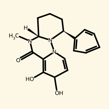 CN1C(=O)C2=C(O)C(O)C=CN2N2[C@H](c3ccccc3)CCC[C@@H]12